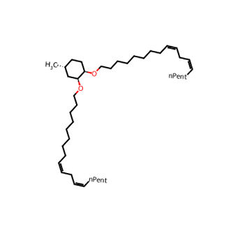 CCCCC/C=C\C/C=C\CCCCCCCCO[C@H]1C[C@H](C)CC[C@H]1OCCCCCCCC/C=C\C/C=C\CCCCC